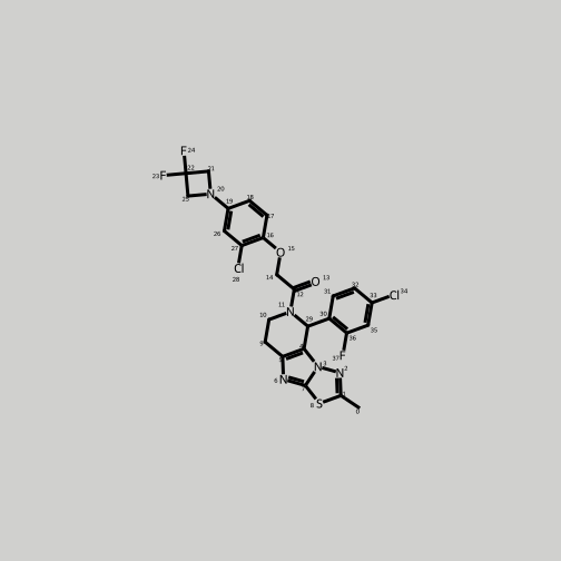 Cc1nn2c3c(nc2s1)CCN(C(=O)COc1ccc(N2CC(F)(F)C2)cc1Cl)C3c1ccc(Cl)cc1F